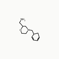 NCC1CN(CC2C=CC=CC2)CCO1